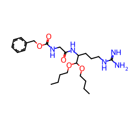 CCCCOC(OCCCC)C(CCCNC(=N)N)NC(=O)CNC(=O)OCc1ccccc1